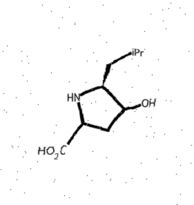 CC(C)C[C@@H]1NC(C(=O)O)CC1O